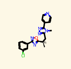 C[C@H](Cc1nnc(-c2ccncc2)n1C)c1nc(-c2cccc(Cl)c2)no1